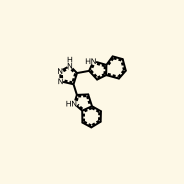 c1ccc2[nH]c(-c3nn[nH]c3-c3cc4ccccc4[nH]3)cc2c1